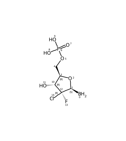 B[C@@H]1O[C@H](COP(=O)(O)O)[C@@H](O)[C@]1(F)Cl